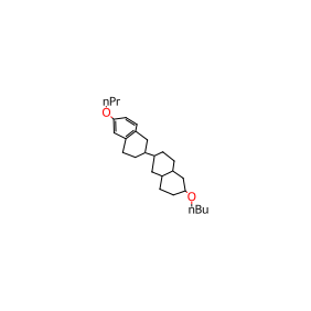 CCCCOC1CCC2CC(C3CCc4cc(OCCC)ccc4C3)CCC2C1